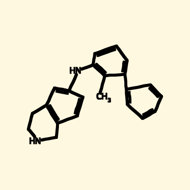 Cc1c(Nc2ccc3c(c2)CCNC3)cccc1-c1ccccc1